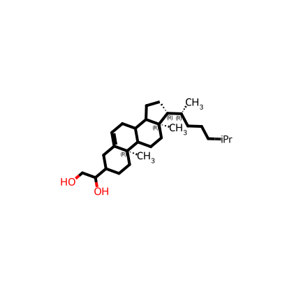 CC(C)CCC[C@@H](C)[C@H]1CCC2C3CC=C4CC(C(O)CO)CC[C@]4(C)C3CC[C@@]21C